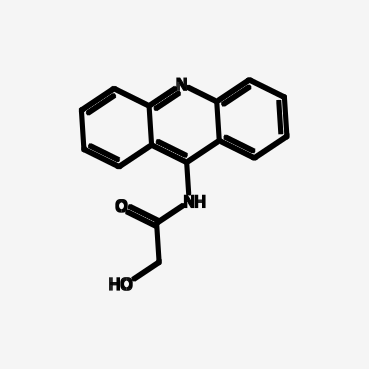 O=C(CO)Nc1c2ccccc2nc2ccccc12